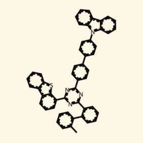 Cc1ccccc1-c1ccccc1-c1nc(-c2ccc(-c3ccc(-n4c5ccccc5c5ccccc54)cc3)cc2)nc(-c2cccc3c2sc2ccccc23)n1